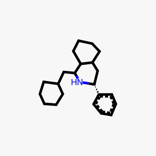 c1ccc([C@H]2CC3CCCCC3C(CC3CCCCC3)N2)cc1